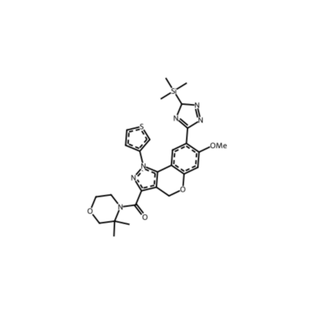 COc1cc2c(cc1C1=NC([Si](C)(C)C)N=N1)-c1c(c(C(=O)N3CCOCC3(C)C)nn1-c1ccsc1)CO2